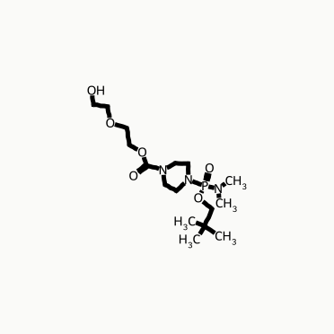 CN(C)P(=O)(OCC(C)(C)C)N1CCN(C(=O)OCCOCCO)CC1